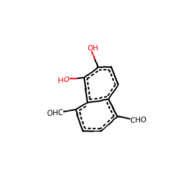 O=Cc1ccc(C=O)c2c(O)c(O)ccc12